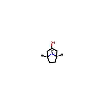 CC(C)N1[C@@H]2CC[C@H]1CC(O)C2